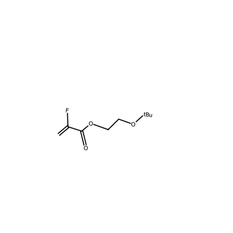 C=C(F)C(=O)OCCOC(C)(C)C